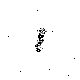 CNC(=O)NCc1ccc(-c2nc(-c3cccc(OCc4ccccc4)c3)c3c(N)ncnn23)cc1